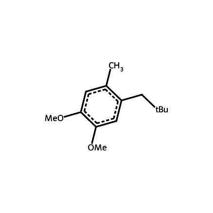 COc1cc(C)c(CC(C)(C)C)cc1OC